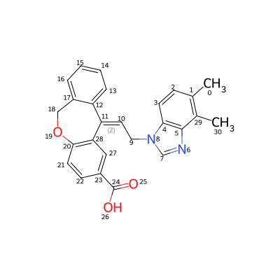 Cc1ccc2c(ncn2C/C=C2/c3ccccc3COc3ccc(C(=O)O)cc32)c1C